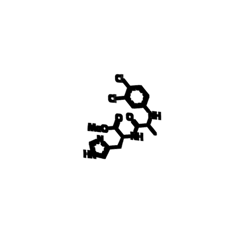 COC(=O)[C@H](Cc1c[nH]cn1)NC(=O)C(C)Nc1ccc(Cl)c(Cl)c1